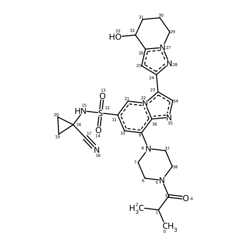 CC(C)C(=O)N1CCN(c2cc(S(=O)(=O)NC3(C#N)CC3)cn3c(-c4cc5n(n4)CCCC5O)cnc23)CC1